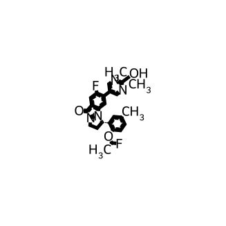 Cc1ccc(OC(C)F)c([C@@H]2CCn3c(=O)c4cc(F)c(-c5cnc(C(C)(C)O)nc5)cc4n32)c1